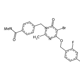 CNC(=O)c1ccc(Cn2c(C)nc(OCc3ccc(F)cc3F)c(Br)c2=O)cc1